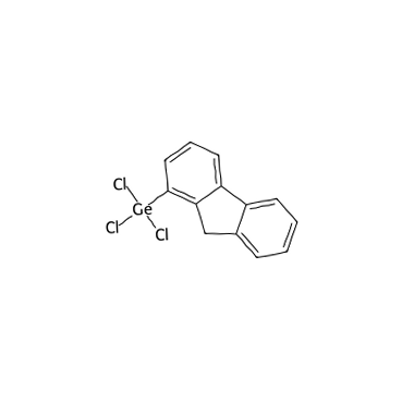 [Cl][Ge]([Cl])([Cl])[c]1cccc2c1Cc1ccccc1-2